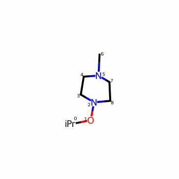 CC(C)ON1CCN(C)CC1